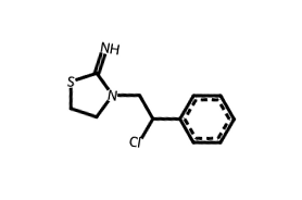 N=C1SCCN1CC(Cl)c1ccccc1